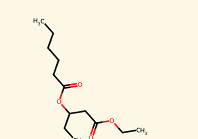 CCCCCC(=O)OC(CC)CC(=O)OCC